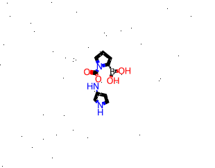 O=C(ON[C@@H]1CCNC1)N1CCC[C@H]1B(O)O